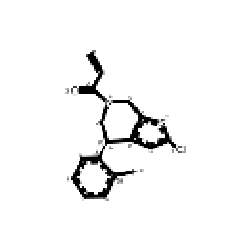 C=CC(=O)N1Cc2sc(Cl)cc2[C@@H](c2ccccc2F)C1